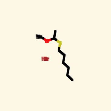 Br.CCCCCCSC(C)[O][Sn]